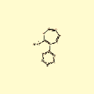 COC1=C(c2ccccc2)C=CC=CC1